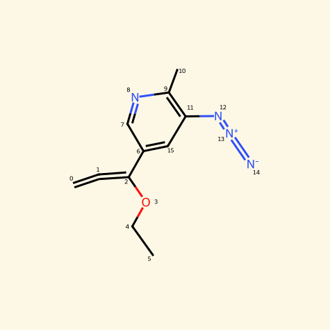 C=C=C(OCC)c1cnc(C)c(N=[N+]=[N-])c1